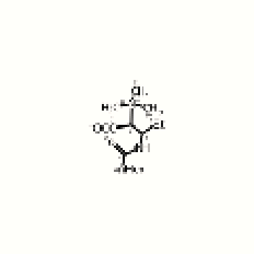 CCCCCCC(=O)NC(CC)C(C(=O)[O-])[N+](C)(C)C